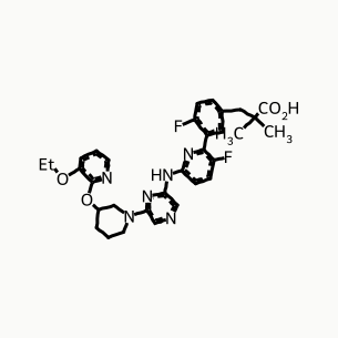 CCOc1cccnc1OC1CCCN(c2cncc(Nc3ccc(F)c(-c4cc(CC(C)(C)C(=O)O)ccc4F)n3)n2)C1